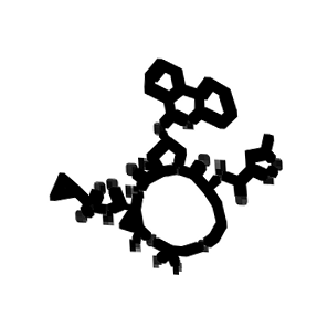 Cc1cc(C(=O)N[C@H]2CCCCCC(F)(F)C[C@@H]3C[C@@]3(C(=O)NS(=O)(=O)C3CC3)NC(=O)[C@@H]3C[C@@H](Oc4nc5ccccc5c5ccccc45)CN3C2=O)no1